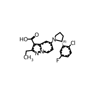 CCc1nn2ccc(N3CCC[C@@H]3c3cc(F)ccc3Cl)cc2c1C(=O)O